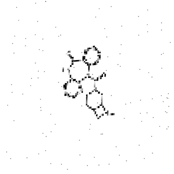 CN1CC2CCN(C(=O)N3c4ccccc4C(=O)Nc4cccnc43)CC21